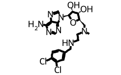 CN(CCNCc1ccc(Cl)c(Cl)c1)C[C@H]1O[C@@H](n2cnc3c(N)ncnc32)[C@H](O)[C@@H]1O